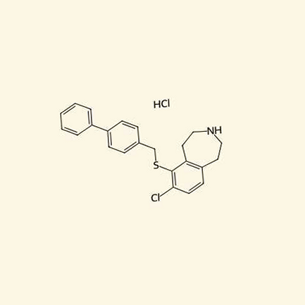 Cl.Clc1ccc2c(c1SCc1ccc(-c3ccccc3)cc1)CCNCC2